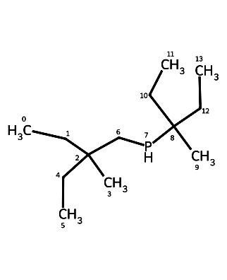 CCC(C)(CC)CPC(C)(CC)CC